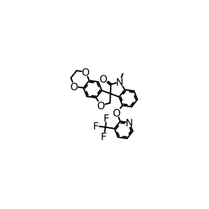 CN1C(=O)C2(COc3cc4c(cc32)OCCO4)c2c(Oc3ncccc3C(F)(F)F)cccc21